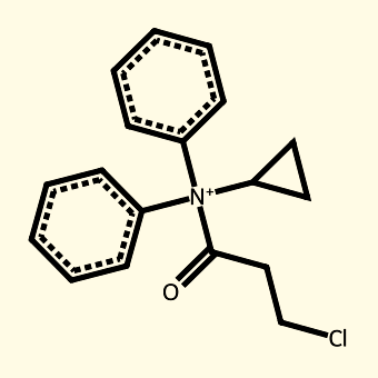 O=C(CCCl)[N+](c1ccccc1)(c1ccccc1)C1CC1